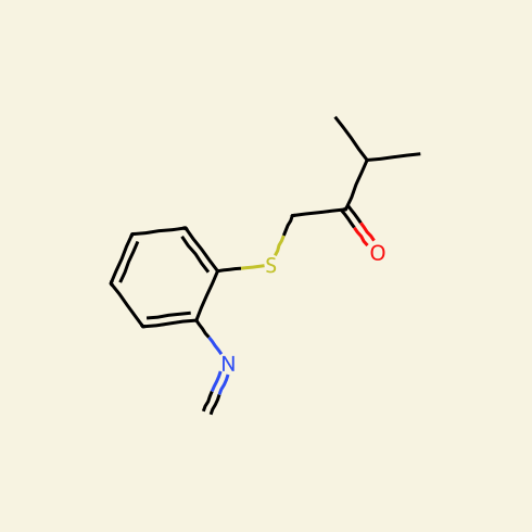 C=Nc1ccccc1SCC(=O)C(C)C